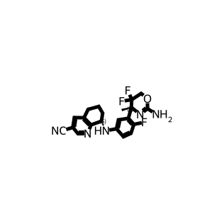 C[C@]1(c2cc(N[C@H]3CCCc4cc(C#N)cnc43)ccc2F)N=C(N)OCC1(F)F